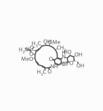 CO[C@H]1/C=C\C=C(/C)C(=O)NC2=CC(=O)C(N[C@@H]3C(O)O[C@@H](CO)[C@H](O)[C@H]3O)=C(C[C@@H](C)C[C@H](OC)[C@H](O)[C@@H](C)/C=C(\C)[C@@H]1OC(N)=O)C2=O